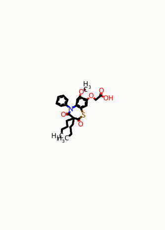 CCCCC1(CCCC)C(=O)Sc2cc(OCC(=O)O)c(OC)cc2N(c2ccccc2)C1=O